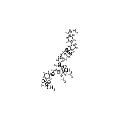 CNS(=O)(=O)c1cccc(OC[C@@H](O)CN(C(=O)OC(C)(C)C)C2COC3(CCN(S(=O)(=O)c4cccc(-c5ccc(CN)cc5)c4)CC3)C2)c1